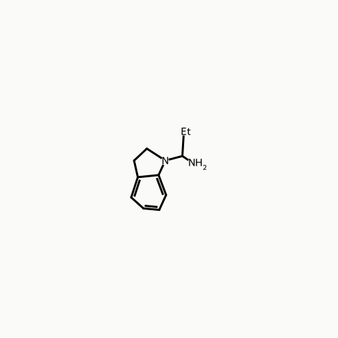 CCC(N)N1CCc2ccccc21